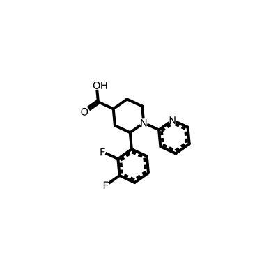 O=C(O)C1CCN(c2ccccn2)C(c2cccc(F)c2F)C1